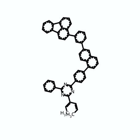 C/C=C\C(=C/C)c1nc(-c2ccccc2)nc(-c2ccc(-c3cccc4cc(-c5cccc(-c6ccc7c8c(cccc68)-c6ccccc6-7)c5)ccc34)cc2)n1